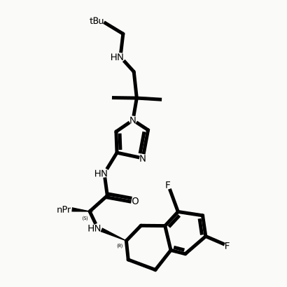 CCC[C@H](N[C@@H]1CCc2cc(F)cc(F)c2C1)C(=O)Nc1cn(C(C)(C)CNCC(C)(C)C)cn1